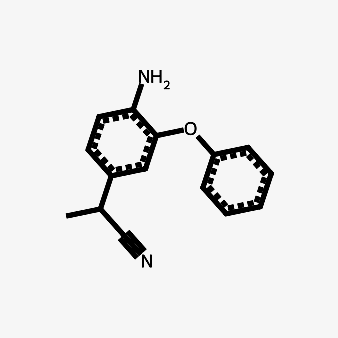 CC(C#N)c1ccc(N)c(Oc2ccccc2)c1